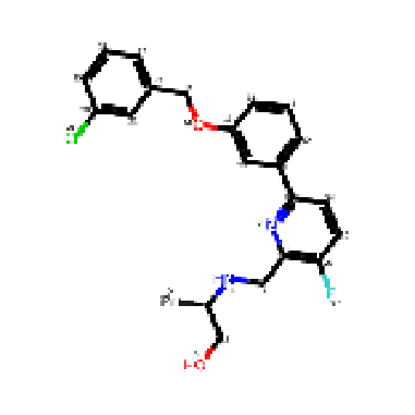 CC(C)[C@H](CO)NCc1nc(-c2cccc(OCc3cccc(Cl)c3)c2)ccc1F